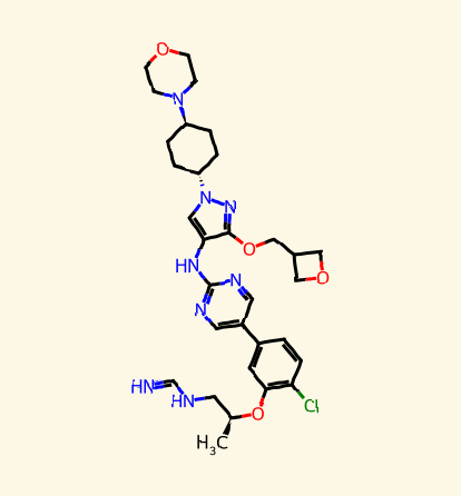 C[C@@H](CNC=N)Oc1cc(-c2cnc(Nc3cn([C@H]4CC[C@H](N5CCOCC5)CC4)nc3OCC3COC3)nc2)ccc1Cl